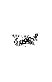 CC(C)[C@@H](OC(=O)N1CCC1)C1C[C@@H](C)[C@H]2C(O1)[C@H](O)[C@@]1(C)C3CC[C@H]4C(C)(C)[C@@H](O[C@H]5CN(CCN(C)C)CCO5)CC[C@@]45CC35CC[C@]21C